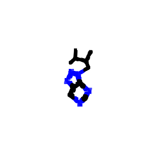 CC(C)C(C)Cn1nnc2cncnc21